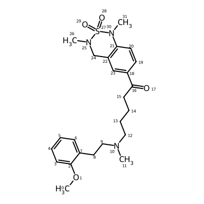 COc1ccccc1CCN(C)CCCCC(=O)c1ccc2c(c1)CN(C)S(=O)(=O)N2C